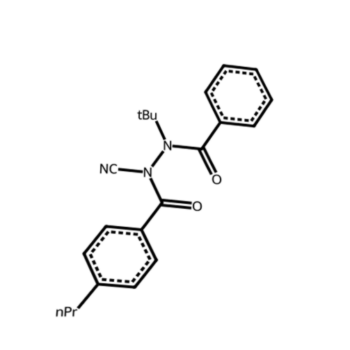 CCCc1ccc(C(=O)N(C#N)N(C(=O)c2ccccc2)C(C)(C)C)cc1